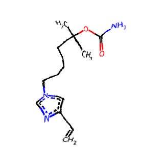 C=Cc1cn(CCCC(C)(C)OC(N)=O)cn1